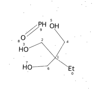 CCC(CO)(CO)CO.O=P